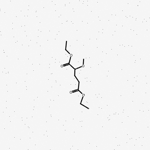 CCOC(=O)CCC(OC)C(=O)OCC